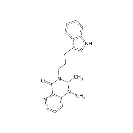 CC1N(CCCc2c[nH]c3ccccc23)C(=O)c2ncccc2N1C